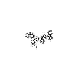 FC(F)(F)c1ccc2c(c1)c1cc(-c3cccc4c3oc3ccc(-n5c6ccccc6c6ccccc65)cc34)ccc1n2-c1ccc2oc3ccccc3c2c1